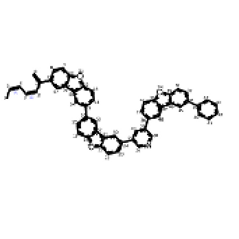 C=C(/C=C\C=C/C)c1ccc2oc3ccc(-c4ccc5oc6ccc(-c7cncc(-c8ccc9oc%10ccc(-c%11ccccc%11)cc%10c9c8)c7)cc6c5c4)cc3c2c1